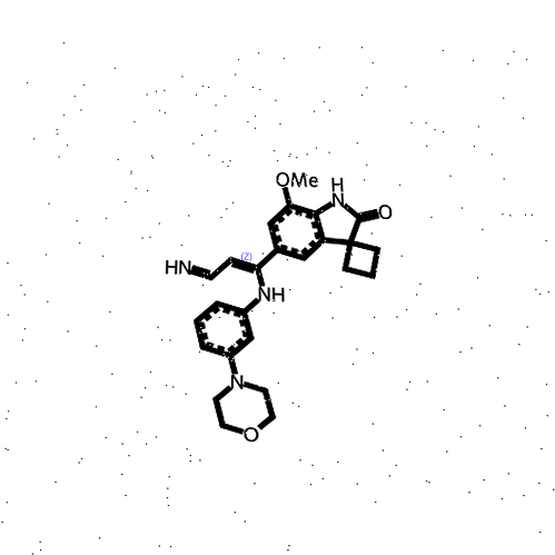 COc1cc(/C(=C/C=N)Nc2cccc(N3CCOCC3)c2)cc2c1NC(=O)C21CCC1